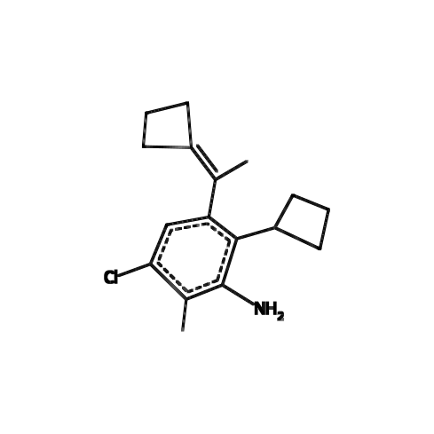 CC(=C1CCC1)c1cc(Cl)c(C)c(N)c1C1CCC1